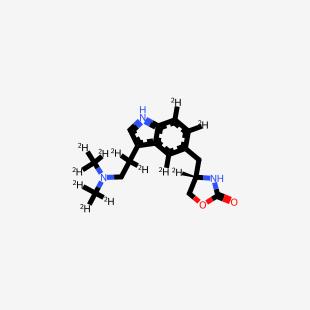 [2H]c1c(C[C@@]2([2H])COC(=O)N2)c([2H])c2c(C([2H])([2H])CN(C([2H])([2H])[2H])C([2H])([2H])[2H])c[nH]c2c1[2H]